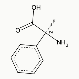 C[C@@](N)(C(=O)O)c1ccccc1